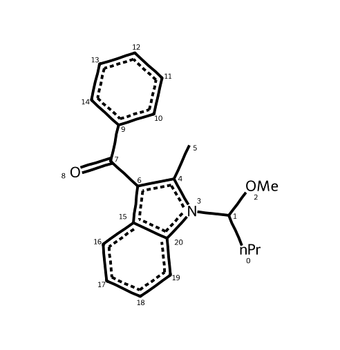 CCCC(OC)n1c(C)c(C(=O)c2ccccc2)c2ccccc21